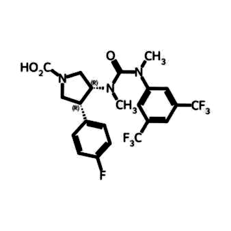 CN(C(=O)N(C)[C@H]1CN(C(=O)O)C[C@H]1c1ccc(F)cc1)c1cc(C(F)(F)F)cc(C(F)(F)F)c1